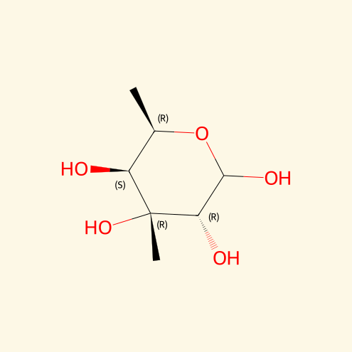 C[C@H]1OC(O)[C@H](O)[C@](C)(O)[C@H]1O